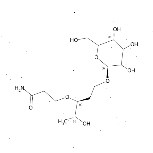 C[C@@H](O)[C@H](CCO[C@H]1OC(CO)[C@H](O)C(O)C1O)OCCC(N)=O